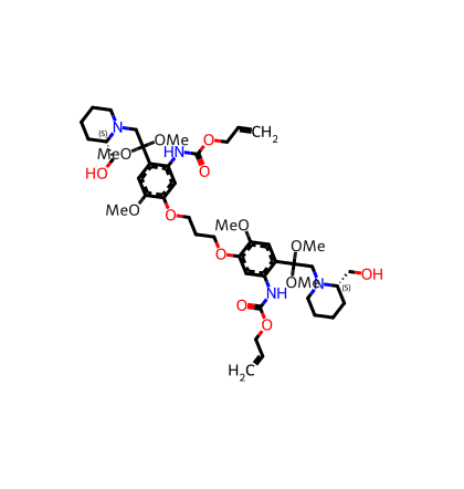 C=CCOC(=O)Nc1cc(OCCCOc2cc(NC(=O)OCC=C)c(C(CN3CCCC[C@H]3CO)(OC)OC)cc2OC)c(OC)cc1C(CN1CCCC[C@H]1CO)(OC)OC